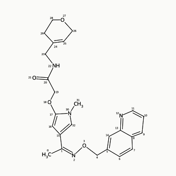 CC(=NOCc1ccc2cccnc2c1)c1cc(OCC(=O)NCC2=CCOCC2)n(C)c1